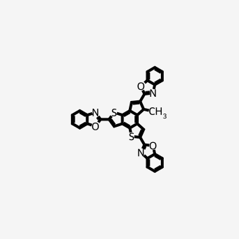 CC1C(c2nc3ccccc3o2)=Cc2c1c1cc(-c3nc4ccccc4o3)sc1c1cc(-c3nc4ccccc4o3)sc21